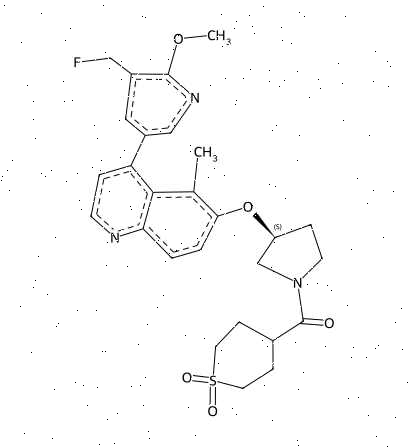 COc1ncc(-c2ccnc3ccc(O[C@H]4CCN(C(=O)C5CCS(=O)(=O)CC5)C4)c(C)c23)cc1CF